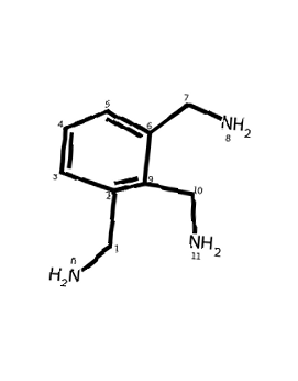 NCc1cccc(CN)c1CN